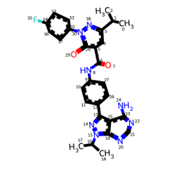 CC(C)c1cc(C(=O)Nc2ccc(-c3nn(C(C)C)c4ncnc(N)c34)cc2)c(=O)n(-c2ccc(F)cc2)n1